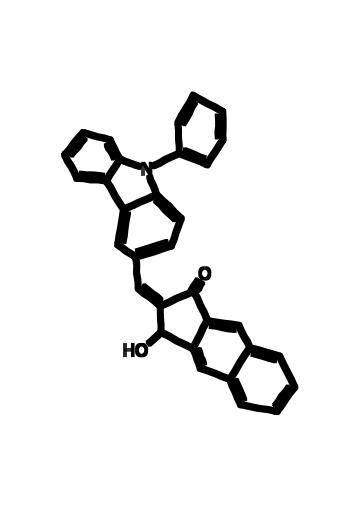 O=C1C(=Cc2ccc3c(c2)c2ccccc2n3-c2ccccc2)C(O)c2cc3ccccc3cc21